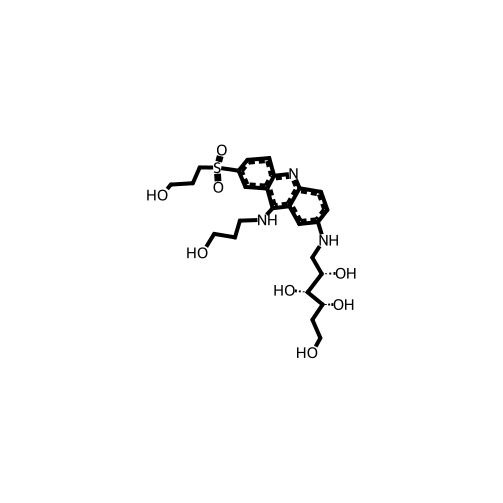 O=S(=O)(CCCO)c1ccc2nc3ccc(NC[C@H](O)[C@@H](O)[C@H](O)CCO)cc3c(NCCCO)c2c1